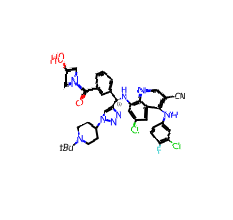 CC(C)(C)N1CCC(n2cc([C@@H](Nc3cc(Cl)cc4c(Nc5ccc(F)c(Cl)c5)c(C#N)cnc34)c3cccc(C(=O)N4CC(O)C4)c3)nn2)CC1